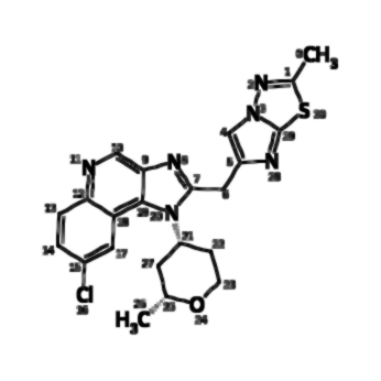 Cc1nn2cc(Cc3nc4cnc5ccc(Cl)cc5c4n3[C@@H]3CCO[C@H](C)C3)nc2s1